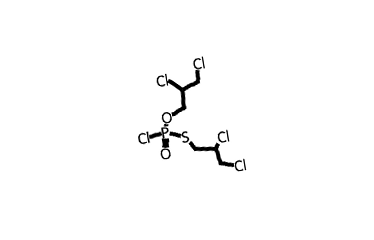 O=P(Cl)(OCC(Cl)CCl)SCC(Cl)CCl